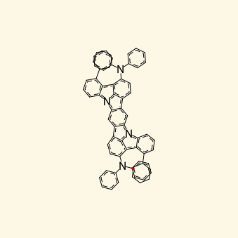 c1ccc(N(c2ccccc2)c2ccc3c4cc5c(cc4n4c6cccc(C7CCCCC7)c6c2c34)c2ccc(N(c3ccccc3)c3ccccc3)c3c4c(C6CCCCC6)cccc4n5c23)cc1